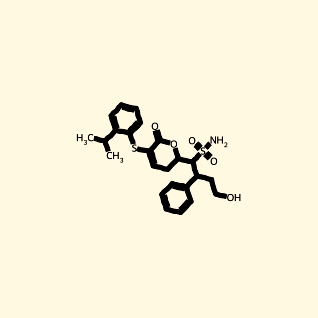 CC(C)c1ccccc1SC1=CCC(C(C(CCO)c2ccccc2)S(N)(=O)=O)OC1=O